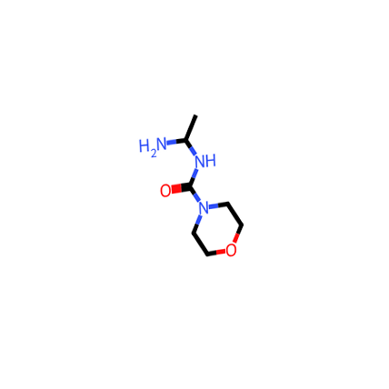 CC(N)NC(=O)N1CCOCC1